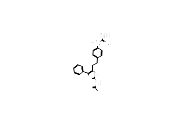 CC(=O)Nc1nc(CCc2ccc(NC(=N)N)cc2)c(-c2ccccc2)s1